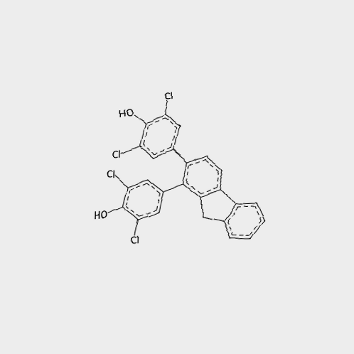 Oc1c(Cl)cc(-c2ccc3c(c2-c2cc(Cl)c(O)c(Cl)c2)Cc2ccccc2-3)cc1Cl